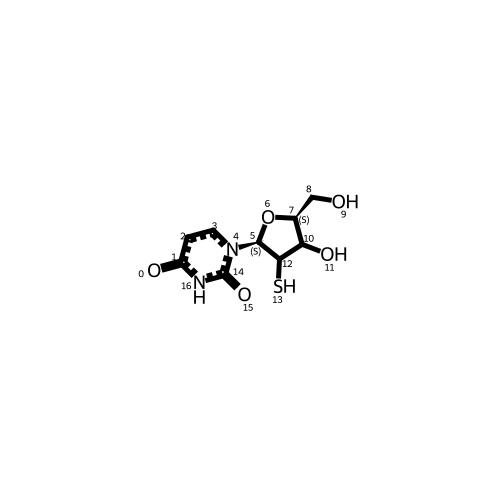 O=c1ccn([C@H]2O[C@@H](CO)C(O)C2S)c(=O)[nH]1